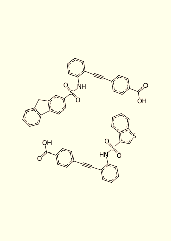 O=C(O)c1ccc(C#Cc2ccccc2NS(=O)(=O)c2ccc3c(c2)Cc2ccccc2-3)cc1.O=C(O)c1ccc(C#Cc2ccccc2NS(=O)(=O)c2csc3ccccc23)cc1